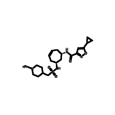 CCCN1CCC(CS(=O)(=O)N[C@H]2CC=CC[C@H](NC(=O)c3cc(C4CC4)on3)C2)CC1